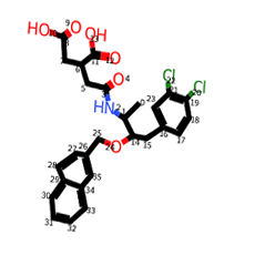 CC(NC(=O)CC(CC(=O)O)C(=O)O)C(Cc1ccc(Cl)c(Cl)c1)OCc1ccc2ccccc2c1